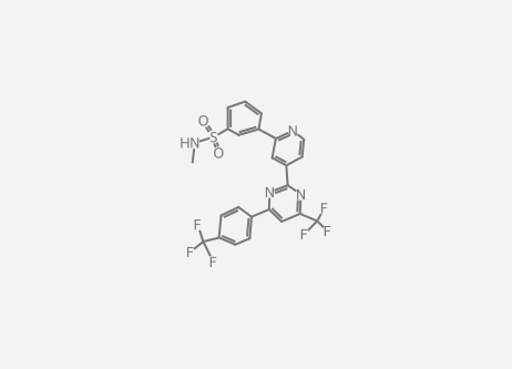 CNS(=O)(=O)c1cccc(-c2cc(-c3nc(-c4ccc(C(F)(F)F)cc4)cc(C(F)(F)F)n3)ccn2)c1